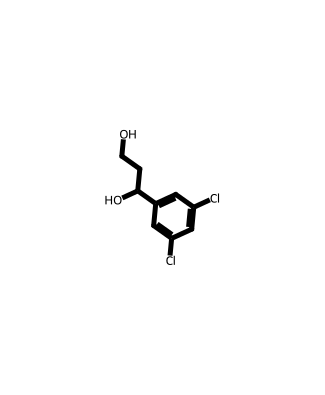 OCCC(O)c1cc(Cl)cc(Cl)c1